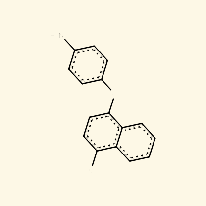 Nc1ccc(Oc2ccc(Cl)c3ccccc23)cc1